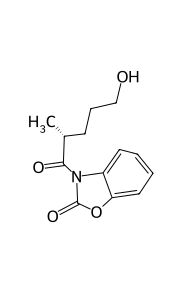 C[C@H](CCCO)C(=O)n1c(=O)oc2ccccc21